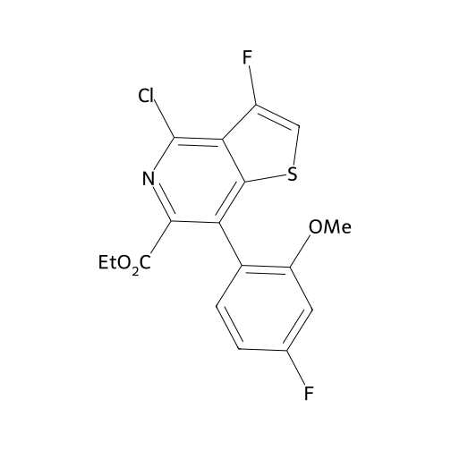 CCOC(=O)c1nc(Cl)c2c(F)csc2c1-c1ccc(F)cc1OC